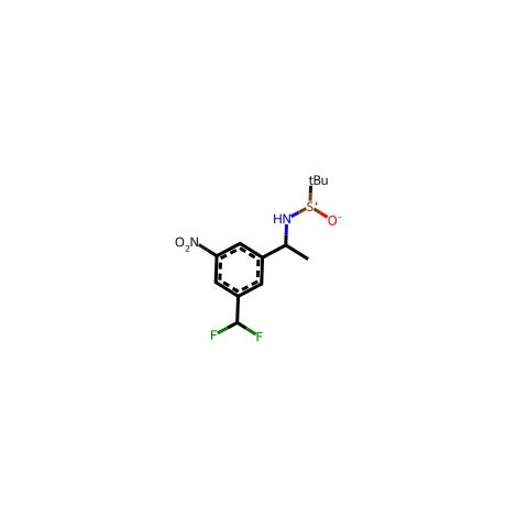 CC(N[S+]([O-])C(C)(C)C)c1cc(C(F)F)cc([N+](=O)[O-])c1